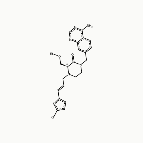 CCOC[C@H]1C(=O)N(Cc2ccc3c(N)ncnc3c2)CCN1CC=Cc1ccc(Cl)s1